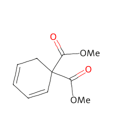 COC(=O)C1(C(=O)OC)C=CC=CC1